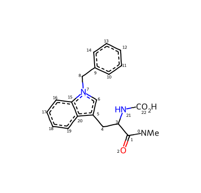 CNC(=O)C(Cc1cn(Cc2ccccc2)c2ccccc12)NC(=O)O